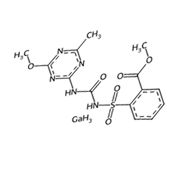 COC(=O)c1ccccc1S(=O)(=O)NC(=O)Nc1nc(C)nc(OC)n1.[GaH3]